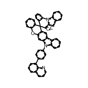 c1ccc2c(c1)Oc1cc3c(cc1C21c2ccccc2-n2c4ccccc4c4cccc1c42)c1ccccc1n3-c1ccc(-c2cccc3cccnc23)cc1